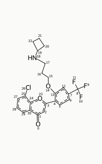 O=c1cc(-c2ccc(C(F)(F)F)cc2OCCCNC2CCC2)oc2c(Cl)cccc12